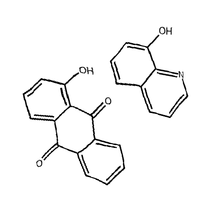 O=C1c2ccccc2C(=O)c2c(O)cccc21.Oc1cccc2cccnc12